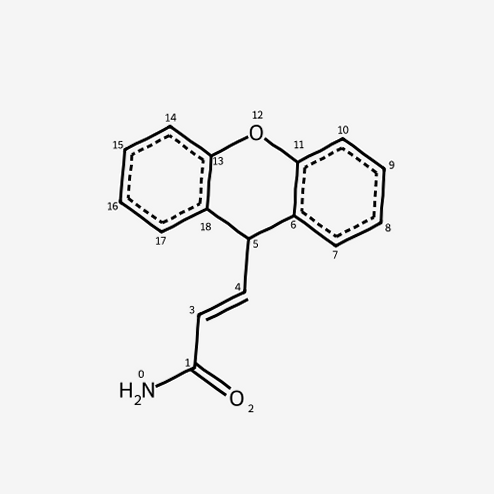 NC(=O)C=CC1c2ccccc2Oc2ccccc21